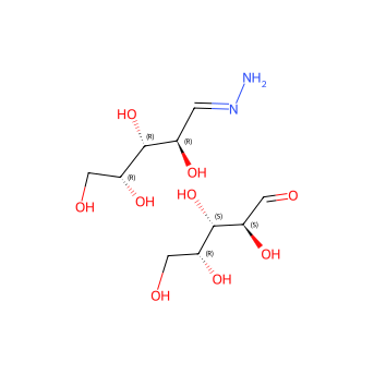 NN=C[C@@H](O)[C@@H](O)[C@H](O)CO.O=C[C@@H](O)[C@@H](O)[C@H](O)CO